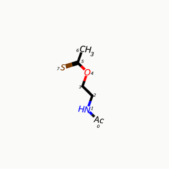 CC(=O)NCCOC(C)=S